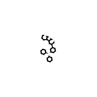 c1ccc(N(c2ccccc2)c2cccc(-c3cnc4oc5ncccc5c4c3)c2)cc1